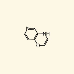 C1=COc2ccncc2N1